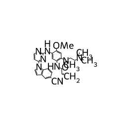 C=CC(=O)Nc1cc(Nc2nccc(-n3ccc4cc(C#N)ccc43)n2)c(OC)cc1N(C)CCN(C)C